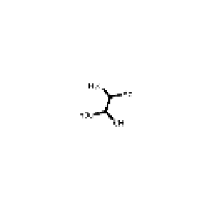 CCCCC(C)C(C)C(C)=O